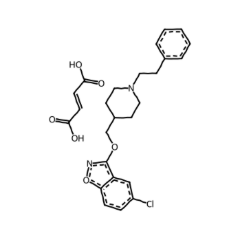 Clc1ccc2onc(OCC3CCN(CCc4ccccc4)CC3)c2c1.O=C(O)C=CC(=O)O